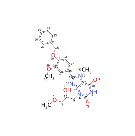 COCC(O)Cn1c(=O)[nH]c(=O)c2c1nc(-c1ccc(OCc3ccccc3)c(OC)c1)n2C